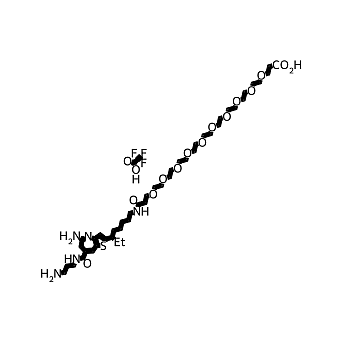 CCC(CCCCCNC(=O)CCOCCOCCOCCOCCOCCOCCOCCOCCOCCOCCC(=O)O)c1cc2c(s1)C=C(C(=O)NCCCN)CC(N)=N2.O=C(O)C(F)(F)F